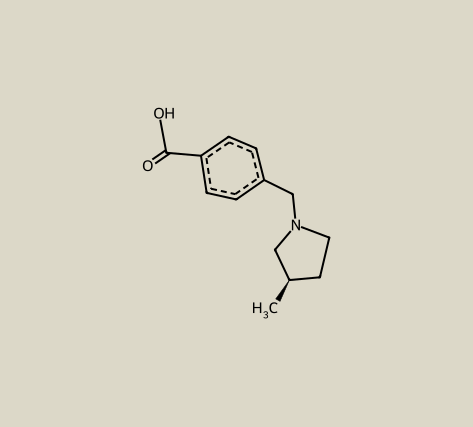 C[C@@H]1CCN(Cc2ccc(C(=O)O)cc2)C1